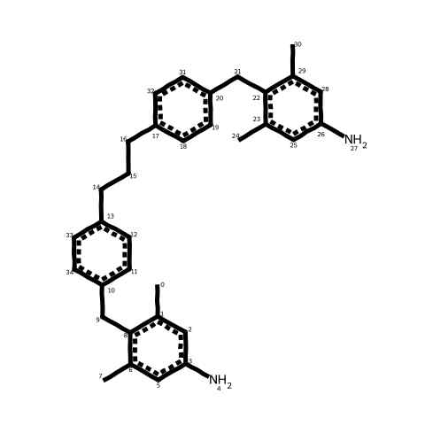 Cc1cc(N)cc(C)c1Cc1ccc(CCCc2ccc(Cc3c(C)cc(N)cc3C)cc2)cc1